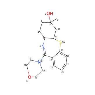 CC1(O)CCC2N=C(N3CCOCC3)c3ccccc3SC2C1